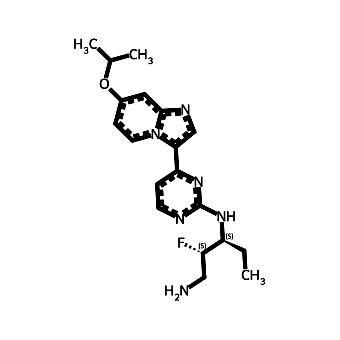 CC[C@H](Nc1nccc(-c2cnc3cc(OC(C)C)ccn23)n1)[C@@H](F)CN